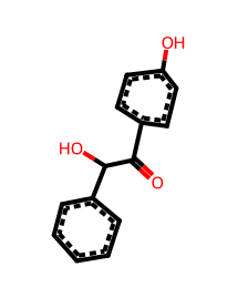 O=C(c1ccc(O)cc1)C(O)c1ccccc1